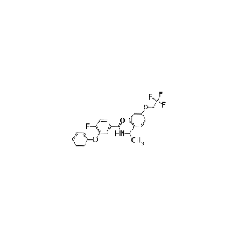 CC(NC(=O)c1ccc(F)c(Oc2ccccc2)c1)c1ccc(OCC(F)(F)F)cn1